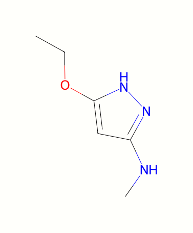 CCOc1cc(NC)n[nH]1